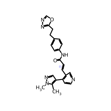 Cc1c(-c2ccncc2/C=C/C(=O)Nc2ccc(CCc3nnco3)cc2)cnn1C